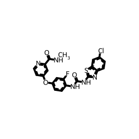 CNC(=O)c1cc(Oc2ccc(NC(=O)Nc3nc4ccc(Cl)cc4s3)c(F)c2)ccn1